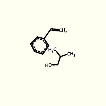 C=Cc1ccccc1.CC(C)CO